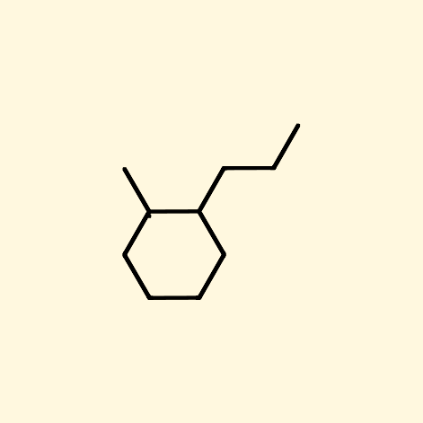 CCCC1CCCC[C]1C